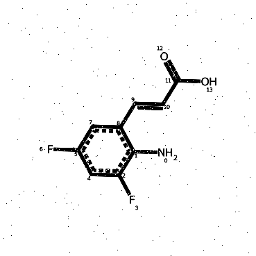 Nc1c(F)cc(F)cc1/C=C/C(=O)O